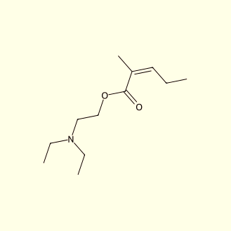 CCC=C(C)C(=O)OCCN(CC)CC